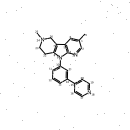 Cc1cnc2c(c1)c1c(n2-c2cccc(-c3ccncc3)c2)CCN(C)C1